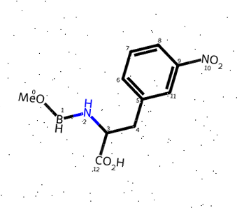 COBNC(Cc1cccc([N+](=O)[O-])c1)C(=O)O